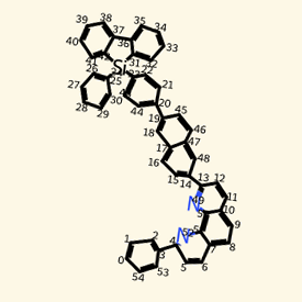 c1ccc(-c2ccc3ccc4ccc(-c5ccc6cc(-c7ccc([Si]8(c9ccccc9)c9ccccc9-c9ccccc98)cc7)ccc6c5)nc4c3n2)cc1